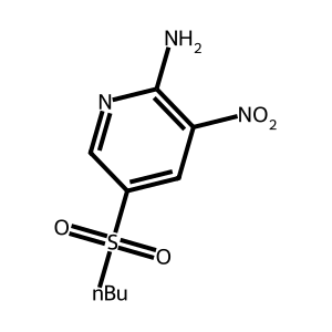 CCCCS(=O)(=O)c1cnc(N)c([N+](=O)[O-])c1